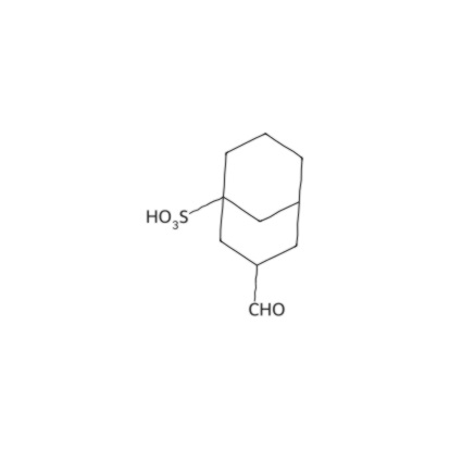 O=CC1CC2CCCC(S(=O)(=O)O)(C1)C2